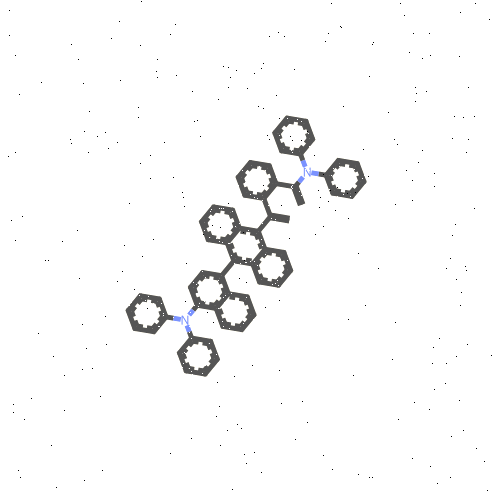 C=C(c1ccccc1C(=C)N(c1ccccc1)c1ccccc1)c1c2ccccc2c(-c2ccc(N(c3ccccc3)c3ccccc3)c3ccccc23)c2ccccc12